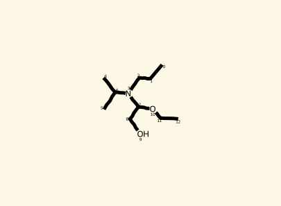 CCCN(C(C)C)C(CO)OCC